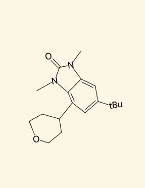 Cn1c(=O)n(C)c2c(C3CCOCC3)cc(C(C)(C)C)cc21